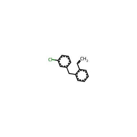 C=Cc1ccccc1Cc1cccc(Cl)c1